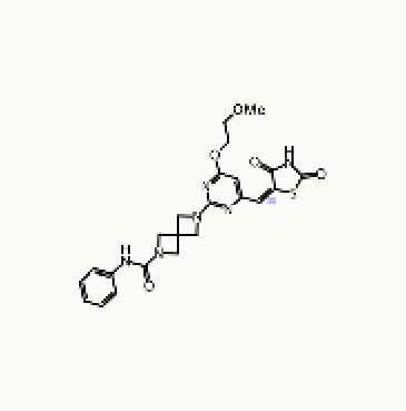 COCCOc1cc(/C=C2/SC(=O)NC2=O)nc(N2CC3(CN(C(=O)Nc4ccccc4)C3)C2)n1